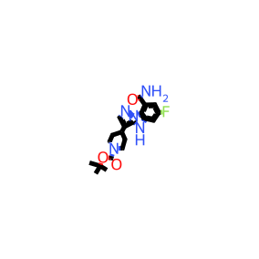 CC(C)(C)OC(=O)N1CCC(c2cnn3c2[nH]c2cc(F)cc(C(N)=O)c23)CC1